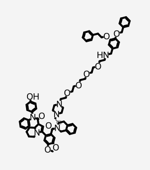 O=C(C1C=C(c2cc3c(cc2C(=O)N2Cc4ccccc4C[C@H]2CN2CCN(CCOCCOCCOCCOCCNCc4ccc(OCc5ccccc5)c(OCCc5ccccc5)c4)CC2)OCO3)N2CCCCC12)N(c1ccccc1)c1ccc(O)cc1